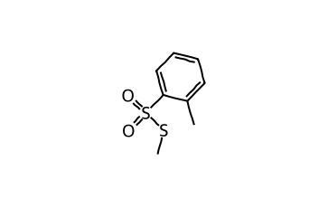 CSS(=O)(=O)c1ccccc1C